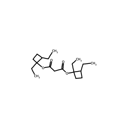 CCC1CCC1(CC)OC(=O)CC(=O)OC1(CC)CCC1CC